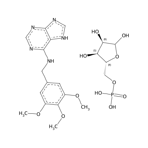 COc1cc(CNc2ncnc3nc[nH]c23)cc(OC)c1OC.O=P(O)(O)OC[C@H]1OC(O)[C@H](O)[C@@H]1O